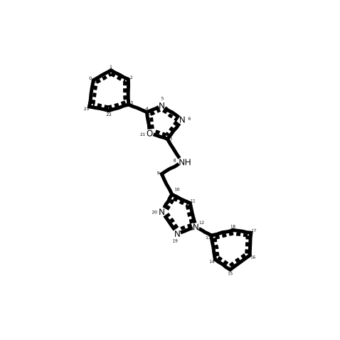 c1ccc(-c2nnc(NCc3cn(-c4ccccc4)nn3)o2)cc1